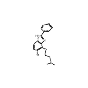 CN(C)CCOc1c(Br)ccc2[nH]c(-c3ccccc3)nc12